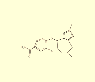 Cc1cc2c(s1)CN(C)CCC2Oc1ccc(C(N)=O)cc1Cl